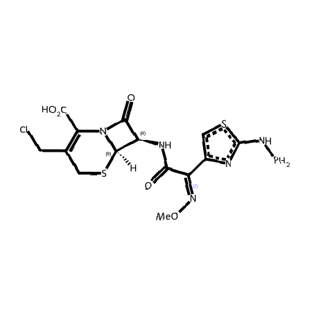 CO/N=C(\C(=O)N[C@@H]1C(=O)N2C(C(=O)O)=C(CCl)CS[C@H]12)c1csc(NP)n1